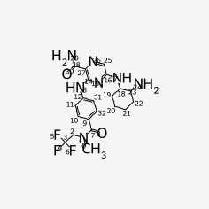 CN(CC(F)(F)F)C(=O)c1ccc(Nc2nc(N[C@@H]3CCCC[C@@H]3N)cnc2C(N)=O)cc1